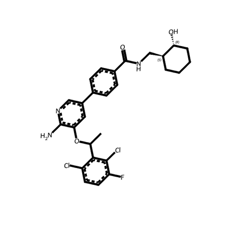 CC(Oc1cc(-c2ccc(C(=O)NC[C@@H]3CCCC[C@H]3O)cc2)cnc1N)c1c(Cl)ccc(F)c1Cl